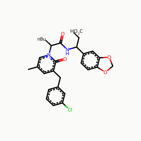 CCCCC(C(=O)NC(CC(=O)O)c1ccc2c(c1)OCO2)n1cc(C)cc(Cc2cccc(Cl)c2)c1=O